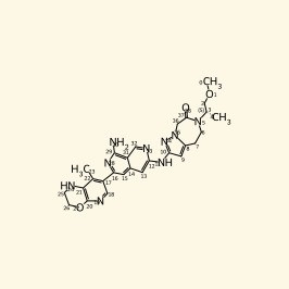 COC[C@H](C)N1CCc2cc(Nc3cc4cc(-c5cnc6c(c5C)NCCO6)nc(N)c4cn3)nn2CC1=O